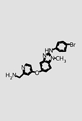 Cn1c(Nc2ccc(Br)cc2)nc2cc(Oc3ccnc(CN)c3)ccc21